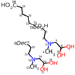 CCCCCCCCCCCCN(C)CC(O)O.CCCCCCCCCCCCN(C)CC(O)O.O=C(O)CCCCC(=O)O